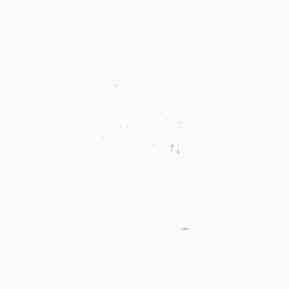 CCOc1cc2c(c3ccc(OC)cc13)C=CC1(O2)N(CCOc2ccccc2)c2ccccc2C1(C)C